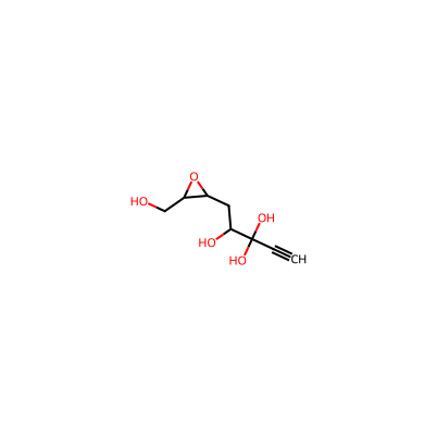 C#CC(O)(O)C(O)CC1OC1CO